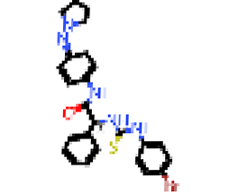 O=C(NC1=CCC(=NN2CCCC2)C=C1)[C@@H](NC(=S)Nc1ccc(Br)cc1)c1ccccc1